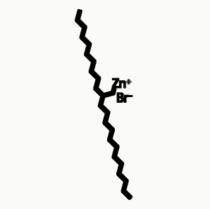 CCCCCCCCCCCCC([CH2][Zn+])CCCCCCCCCC.[Br-]